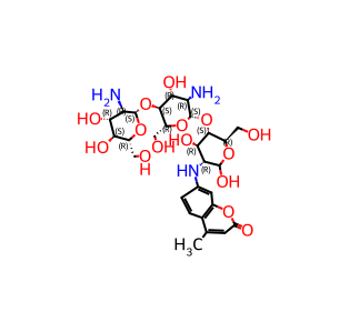 Cc1cc(=O)oc2cc(N[C@H]3C(O)O[C@H](CO)[C@@H](O[C@@H]4O[C@H](CO)[C@@H](O[C@@H]5O[C@H](CO)[C@@H](O)[C@H](O)[C@H]5N)[C@H](O)[C@H]4N)[C@@H]3O)ccc12